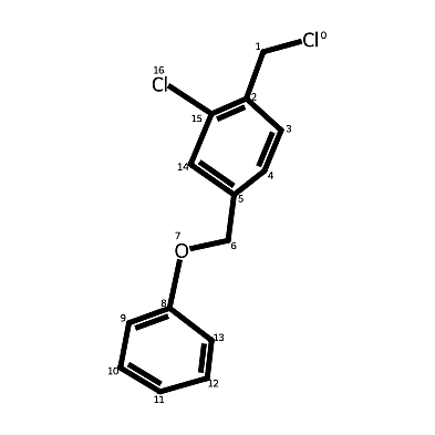 ClCc1ccc(COc2ccccc2)cc1Cl